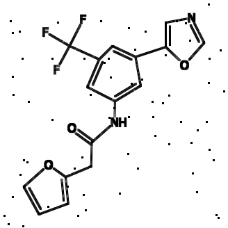 O=C(Cc1ccco1)Nc1cc(-c2cnco2)cc(C(F)(F)F)c1